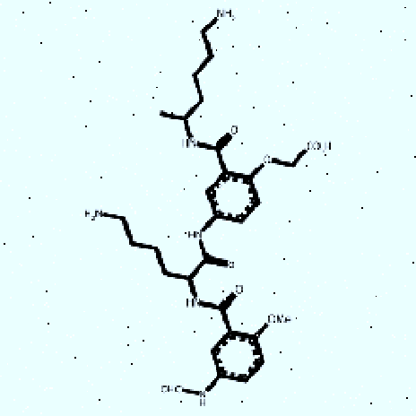 COc1ccc(NC=O)cc1C(=O)NC(CCCCN)C(=O)Nc1ccc(OCC(=O)O)c(C(=O)NC(C)CCCCN)c1